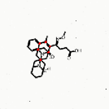 CON=C(CCC(=O)O)c1nc2ccccc2n(C2CC3CCC[C@H](C2)N3C2CC3CC(C)CC(C3)C2)c1=O